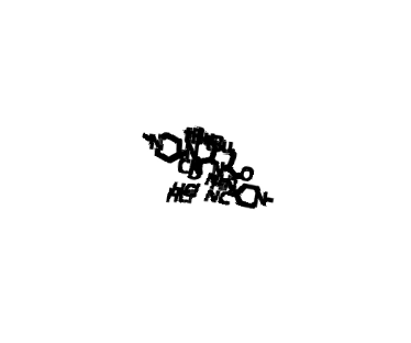 CN1CCC(C#N)(NC(=O)C(CC(C)(C)C)N(N)C(CC(C)(C)C)C(=O)NC2(C#N)CCN(C)CC2)CC1.Cl.Cl